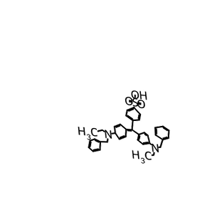 CCN(Cc1ccccc1)c1ccc(C(=C2C=CC(N(CC)Cc3ccccc3)C=C2)c2ccc(S(=O)(=O)O)cc2)cc1